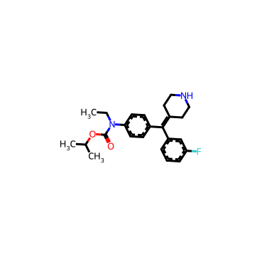 CCN(C(=O)OC(C)C)c1ccc(C(=C2CCNCC2)c2cccc(F)c2)cc1